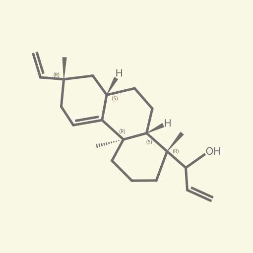 C=CC(O)[C@]1(C)CCC[C@@]2(C)C3=CC[C@](C)(C=C)C[C@@H]3CC[C@@H]21